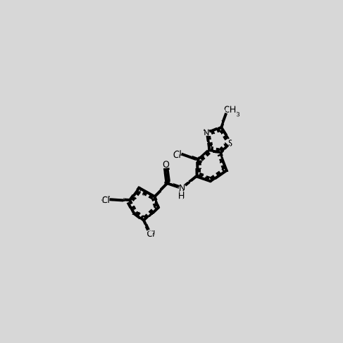 Cc1nc2c(Cl)c(NC(=O)c3cc(Cl)cc(Cl)c3)ccc2s1